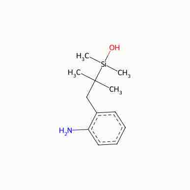 CC(C)(Cc1ccccc1N)[Si](C)(C)O